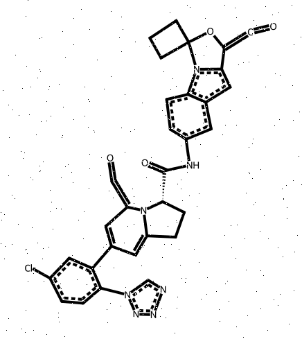 O=C=C1OC2(CCC2)n2c1cc1cc(NC(=O)[C@@H]3CCC4=CC(c5cc(Cl)ccc5-n5cnnn5)=CC(=C=O)N43)ccc12